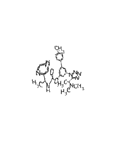 Cc1ccc(-c2cc(OC(=O)NC(C)c3cnccn3)cc(-n3nnnc3C(C)N(C)C)c2)cc1